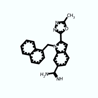 Cc1nnc(-c2cc3ccc(C(=N)N)cc3n2Cc2cccc3ccccc23)o1